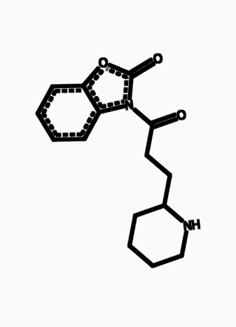 O=C(CCC1CCCCN1)n1c(=O)oc2ccccc21